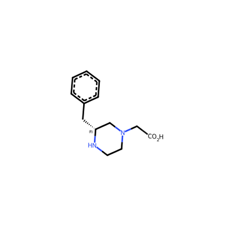 O=C(O)CN1CCN[C@H](Cc2ccccc2)C1